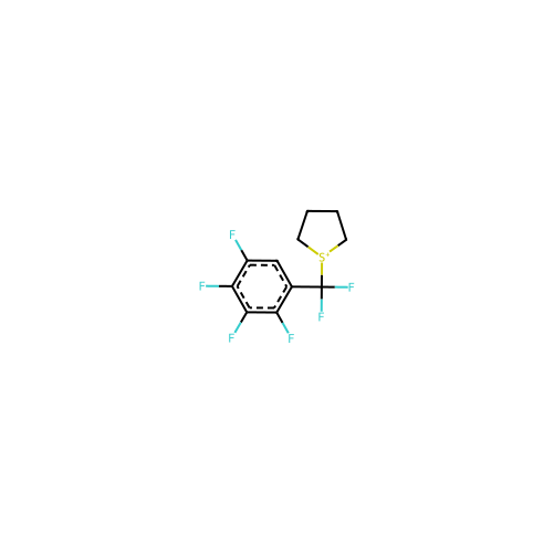 Fc1cc(C(F)(F)[S+]2CCCC2)c(F)c(F)c1F